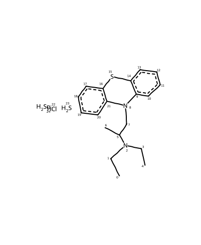 CCN(CC)C(C)CN1c2ccccc2Sc2ccccc21.Cl.S.[SnH2]